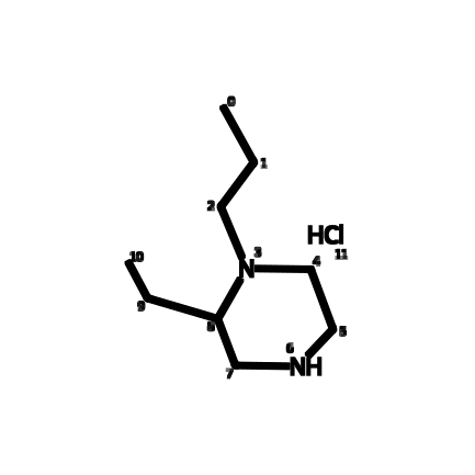 CCCN1CCNCC1CC.Cl